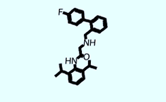 CC(C)c1cccc(C(C)C)c1NC(=O)CNCc1ccccc1-c1ccc(F)cc1